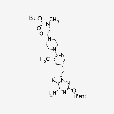 CCC[C@@H](C)Oc1nc(N)c2ncc(Cc3cnc(N4CCN(C(=O)CN(C)C(=O)OC(C)(C)C)CC4)c(C)c3)n2n1